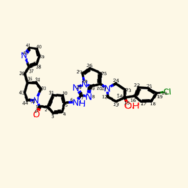 O=C(c1ccc(Nc2nc3c(N4CCC(O)(c5ccc(Cl)cc5)CC4)cccn3n2)cc1)N1CCC(Cc2ccccn2)CC1